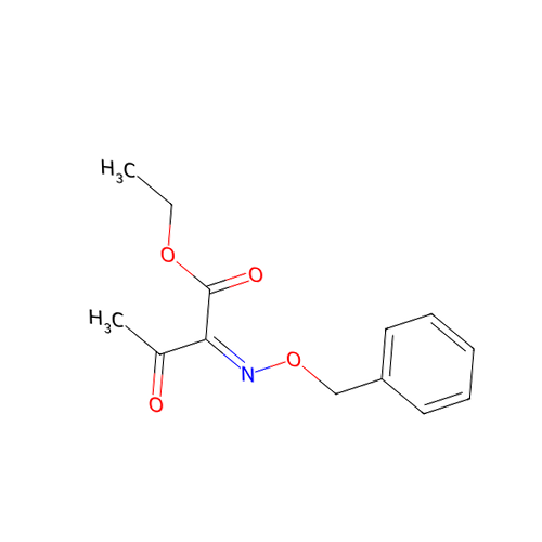 CCOC(=O)C(=NOCc1ccccc1)C(C)=O